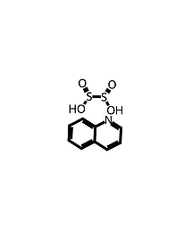 O=S(O)S(=O)O.c1ccc2ncccc2c1